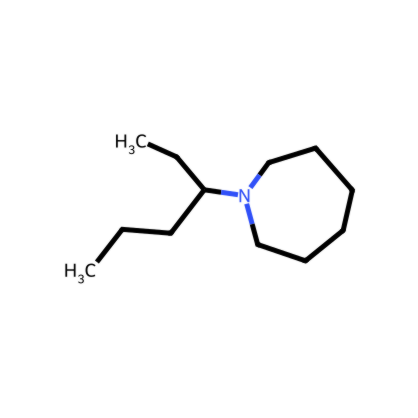 CCCC(CC)N1CCCCCC1